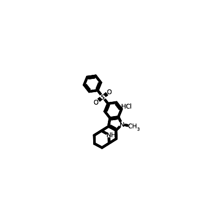 Cl.Cn1c2c(c3cc(S(=O)(=O)c4ccccc4)ccc31)C1CCCC(C2)N1